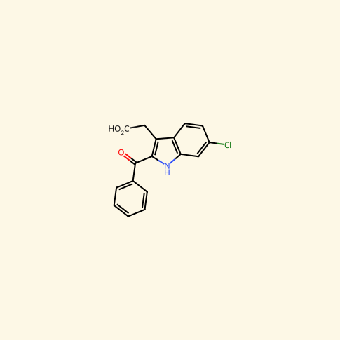 O=C(O)Cc1c(C(=O)c2ccccc2)[nH]c2cc(Cl)ccc12